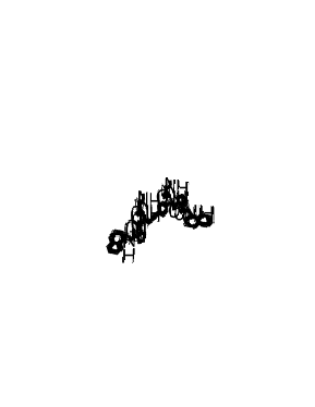 CN[C@@H](C)C(=O)N[C@@H](CC#Cc1ccc([C@H](NC(=O)[C@H](C)NC)C(=O)N2CCC[C@H]2C(=O)N[C@@H]2CCCc3ccccc32)cc1)C(=O)N1CCC[C@H]1C(=O)N[C@@H]1CCCc2ccccc21